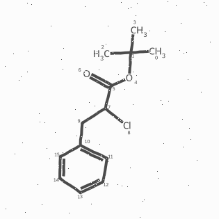 CC(C)(C)OC(=O)C(Cl)Cc1ccccc1